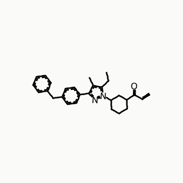 C=CC(=O)C1CCCC(n2nc(-c3ccc(Cc4ccccc4)cc3)c(C)c2CC)C1